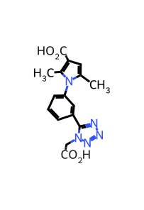 Cc1cc(C(=O)O)c(C)n1-c1cccc(-c2nnnn2CC(=O)O)c1